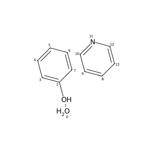 O.Oc1ccccc1.c1ccncc1